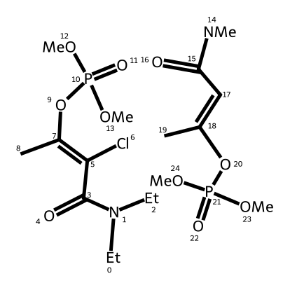 CCN(CC)C(=O)/C(Cl)=C(\C)OP(=O)(OC)OC.CNC(=O)/C=C(\C)OP(=O)(OC)OC